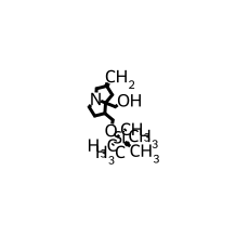 C=C1CN2CCC(CO[Si](C)(C)C(C)(C)C)C2(CO)C1